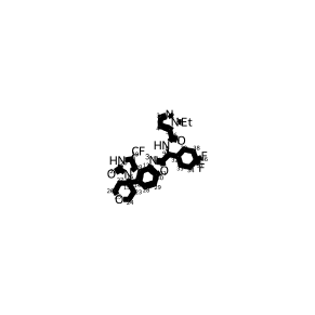 CCn1nccc1C(=O)N[C@H](c1nc2cc(C3(N4C[C@@H](C(F)(F)F)NC4=O)CCOCC3)ccc2o1)C1CCC(F)(F)CC1